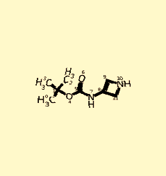 CC(C)(C)OC(=O)NC1=CNC1